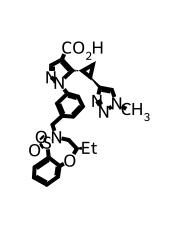 CC[C@@H]1CN(Cc2cccc(-n3ncc(C(=O)O)c3[C@@H]3C[C@H]3c3cn(C)nn3)c2)S(=O)(=O)c2ccccc2O1